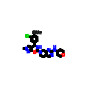 COc1ccc([C@H](NC(=O)N2CCc3cnc(NC4CCOCC4)nc3C2)c2cnn(C)c2)cc1Cl